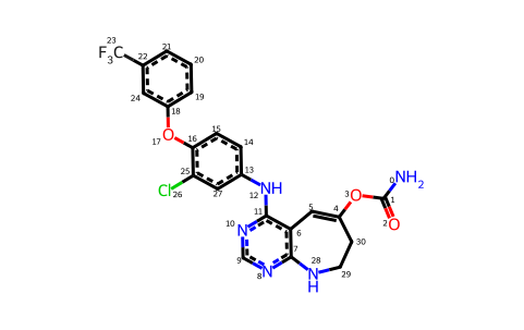 NC(=O)OC1=Cc2c(ncnc2Nc2ccc(Oc3cccc(C(F)(F)F)c3)c(Cl)c2)NCC1